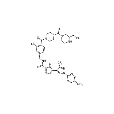 Nc1ccc(-n2cc(-c3cnc(C(=O)NCc4ccc(C(=O)N5CCC(C(=O)N6CCN[C@H](CO)C6)CC5)c(Cl)c4)[nH]3)c(C(F)(F)F)n2)nc1